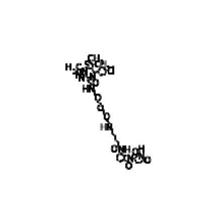 Cc1sc2c(c1C)C(c1ccc(Cl)cc1)=N[C@@H](CC(=O)NCCOCCOCCOCCNCCCCCC(=O)Nc1cccc3c1CN(C1CCC(=O)NC1=O)C3=O)c1nnc(C)n1-2